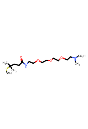 CSSC(C)(C)CCC(=O)NCCOCCOCCOCCN(C)C(=O)O